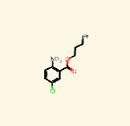 CC(C)CCCOC(=O)c1cc(Cl)ccc1[N+](=O)[O-]